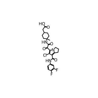 CC1(NC(=O)C(=O)c2c(Cl)c(C(=O)Nc3ccc(F)c(F)c3)c3n2CCC3)CCC(CC(=O)O)CC1